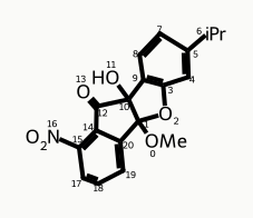 COC12Oc3cc(C(C)C)ccc3C1(O)C(=O)c1c([N+](=O)[O-])cccc12